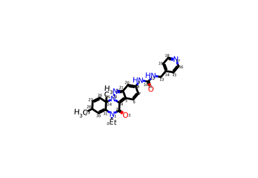 CCN1C(=O)c2c3ccc(NC(=O)NCc4ccncc4)cc3nn2C2(C)C=CC(C)C=C12